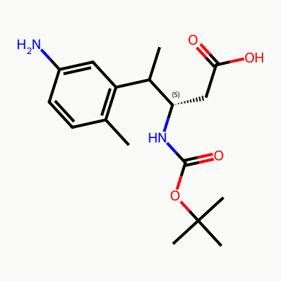 Cc1ccc(N)cc1C(C)[C@H](CC(=O)O)NC(=O)OC(C)(C)C